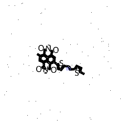 Cc1ccc(/C=C/c2ccc(-c3cc4c5c(c(C)cc6c5c3C(=O)N(C)C6=O)C(=O)N(C)C4=O)s2)s1